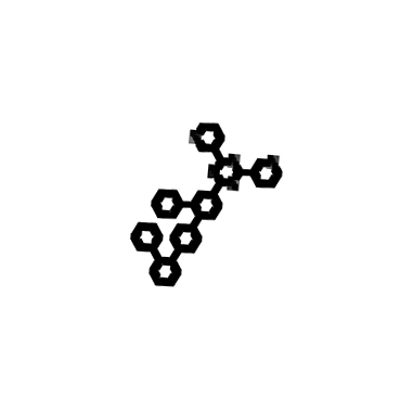 c1ccc(-c2ccccc2-c2ccc(-c3ccc(-c4nc(-c5cccnc5)nc(-c5cccnc5)n4)cc3-c3ccccc3)cc2)cc1